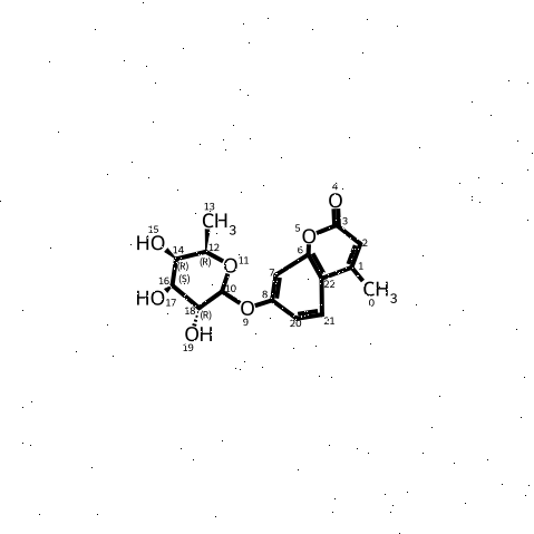 Cc1cc(=O)oc2cc(OC3O[C@H](C)[C@H](O)[C@H](O)[C@H]3O)ccc12